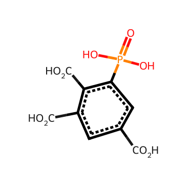 O=C(O)c1cc(C(=O)O)c(C(=O)O)c(P(=O)(O)O)c1